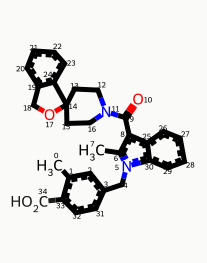 Cc1cc(Cn2c(C)c(C(=O)N3CCC4(CC3)OCc3ccccc34)c3ccccc32)ccc1C(=O)O